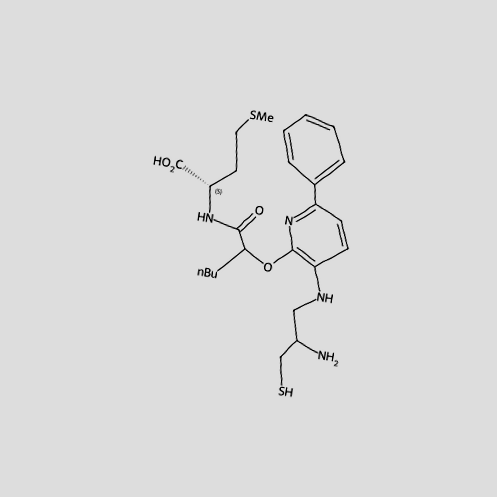 CCCCC(Oc1nc(-c2ccccc2)ccc1NCC(N)CS)C(=O)N[C@@H](CCSC)C(=O)O